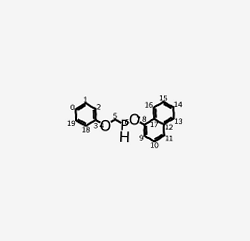 c1ccc(OCPOc2cccc3ccccc23)cc1